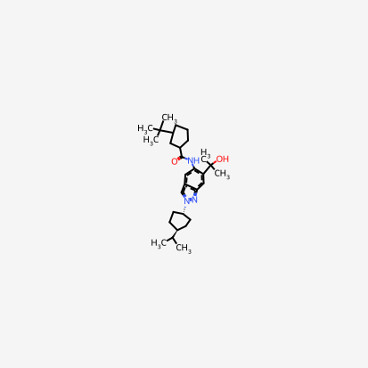 CC(C)[C@H]1CC[C@H](n2cc3cc(NC(=O)C4CCCC(C(C)(C)C)C4)c(C(C)(C)O)cc3n2)CC1